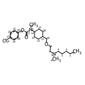 CCCCCN(C)CCOCC1CCC(N(C)C(=O)Oc2ccc(Cl)cc2)CC1